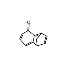 O=C1C=CC=C2C1=C1C=CC2C1